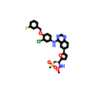 CON[C@H](CS(C)(=O)=O)c1ccc(-c2ccc3ncnc(Nc4ccc(OCc5cccc(F)c5)c(Cl)c4)c3c2)o1